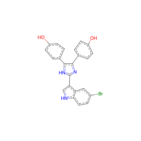 Oc1ccc(-c2nc(-c3c[nH]c4ccc(Br)cc34)[nH]c2-c2ccc(O)cc2)cc1